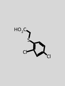 O=C(O)CSc1ccc(Cl)cc1Cl